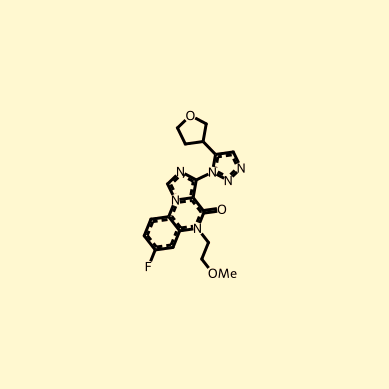 COCCn1c(=O)c2c(-n3nncc3C3CCOC3)ncn2c2ccc(F)cc21